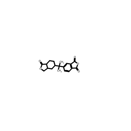 CC(C)(c1ccc2c(c1)C(=O)OC2=O)C1CCC2C(=O)OCC2C1